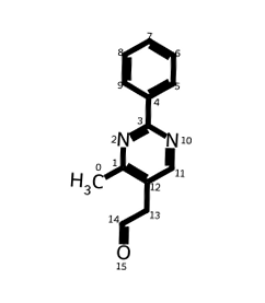 Cc1nc(-c2ccccc2)ncc1CC=O